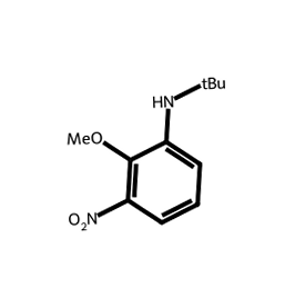 COc1c(NC(C)(C)C)cccc1[N+](=O)[O-]